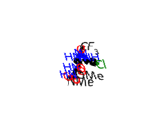 CNC(=O)C(=O)NCCC(NC(=O)c1ccc(Nc2nc(NC3(c4ccc(Cl)cc4)CC3)nc(OCC(F)(F)F)n2)cc1)C(=O)OC